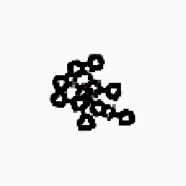 c1ccc(-c2cc(-c3ccccc3)cc(-c3nc(-c4ccccc4)nc(-n4c5ccccc5c5ccc6c7ccccc7n(-c7ccc(-c8ccc9nc(-c%10ccccc%10)oc9c8)cn7)c6c54)n3)c2)cc1